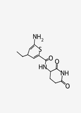 CCC1C=C(N)SC(C(=O)NC2CCC(=O)NC2=O)=C1